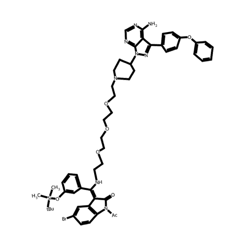 CC(=O)N1C(=O)/C(=C(\NCCOCCOCCOCCN2CCC(n3nc(-c4ccc(Oc5ccccc5)cc4)c4c(N)ncnc43)CC2)c2cccc(O[Si](C)(C)C(C)(C)C)c2)c2cc(Br)ccc21